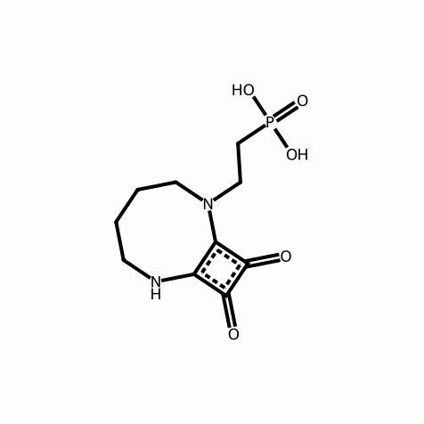 O=c1c2c(c1=O)N(CCP(=O)(O)O)CCCCN2